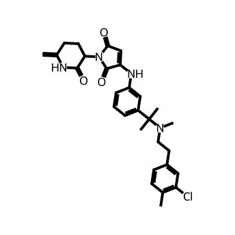 C=C1CCC(N2C(=O)C=C(Nc3cccc(C(C)(C)N(C)CCc4ccc(C)c(Cl)c4)c3)C2=O)C(=O)N1